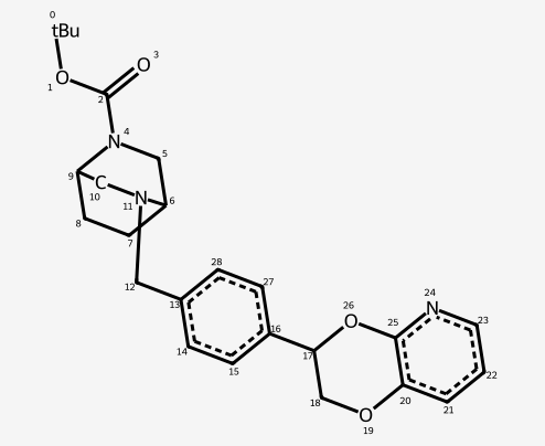 CC(C)(C)OC(=O)N1CC2CCC1CN2Cc1ccc(C2COc3cccnc3O2)cc1